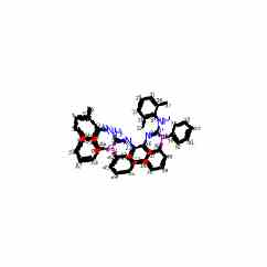 Cc1cccc(C)c1N/C(=N/c1ccccc1/N=C(/Nc1c(C)cccc1C)P(c1ccccc1)c1ccccc1)P(c1ccccc1)c1ccccc1